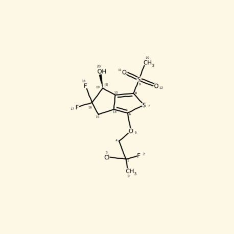 CC(F)(Cl)COc1sc(S(C)(=O)=O)c2c1CC(F)(F)[C@H]2O